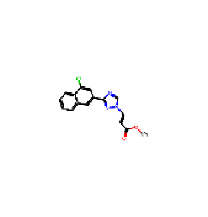 CC(C)OC(=O)C=Cn1cnc(-c2cc(Cl)c3ccccc3c2)n1